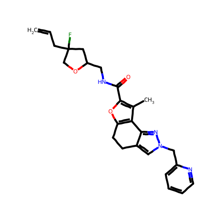 C=CCC1(F)COC(CNC(=O)c2oc3c(c2C)-c2nn(Cc4ccccn4)cc2CC3)C1